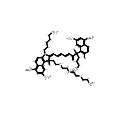 C=C(/C=C/C=C/C=C1/N(CCCCCC(=O)O)c2ccc3c(S(=O)(=O)O)cc(S(=O)(=O)O)cc3c2C1(C)CCOCCOCCOCCOC)C(C)(CCCS(=O)(=O)O)c1c(C)ccc2c(S(=O)(=O)O)cc(S(=O)(=O)O)cc12